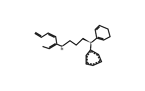 C=C/C=C\C(=C/C)PCCC[P@@](C1=CCCC=C1)c1ccccc1